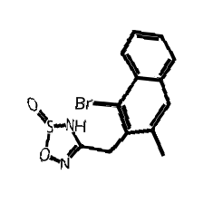 Cc1cc2ccccc2c(Br)c1CC1=NOS(=O)N1